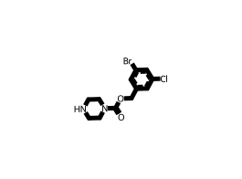 O=C(OCc1cc(Cl)cc(Br)c1)N1CCNCC1